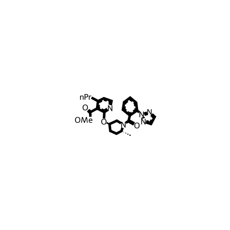 CCCc1ccnc(O[C@@H]2CC[C@@H](C)N(C(=O)c3ccccc3-n3nccn3)C2)c1C(=O)OC